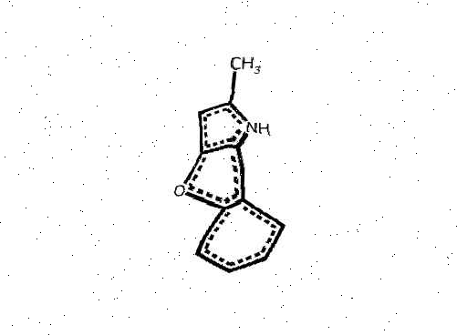 Cc1cc2oc3ccccc3c2[nH]1